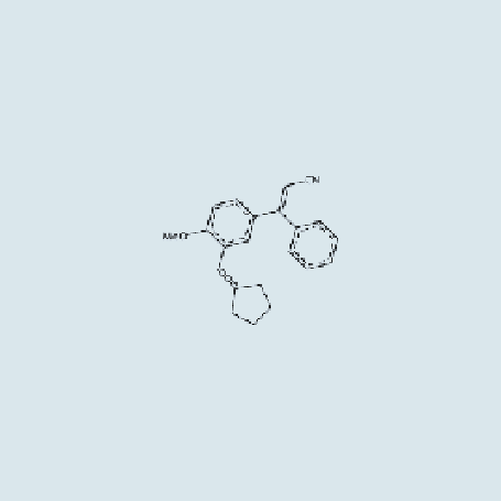 COc1ccc(/C(=C/C#N)c2ccccc2)cc1C=C1CCCC1